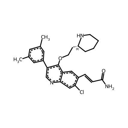 Cc1cc(C)cc(-c2cnc3cc(Cl)c(C=CC(N)=O)cc3c2OCC[C@H]2CCCCN2)c1